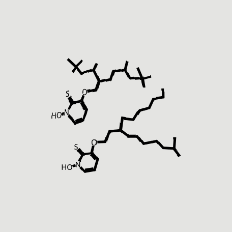 CC(CCC(COc1cccn(O)c1=S)C(C)CC(C)(C)C)CC(C)(C)C.CCCCCCCC(CCCCCC(C)C)CCOc1cccn(O)c1=S